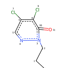 [CH2]C[CH]n1ncc(Cl)c(Cl)c1=O